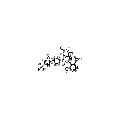 C=N/C(=N\C1=C(C)N(C)C(=O)CN1Cc1ccc(-c2nc(C(F)(F)F)cn2C)cc1)c1c(OC)ncnc1C1CC1